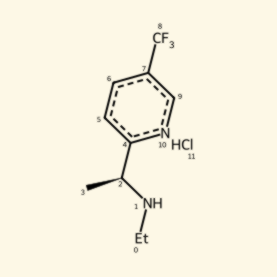 CCN[C@@H](C)c1ccc(C(F)(F)F)cn1.Cl